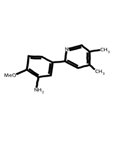 COc1ccc(-c2cc(C)c(C)cn2)cc1N